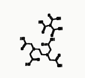 O=C(O)CN(CCN(CC(=O)O)CC(=O)O)CC(=O)O.O=C(O)N(C(=O)O)C(=O)O